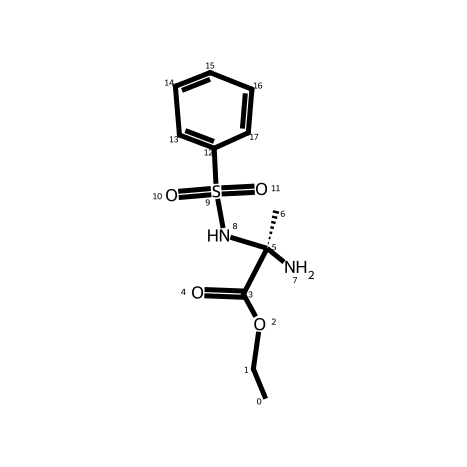 CCOC(=O)[C@](C)(N)NS(=O)(=O)c1ccccc1